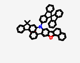 CC1(C)c2ccccc2-c2ccc(N(c3ccc4c(c3)C3(c5ccccc5-c5ccccc53)c3ccccc3-4)c3cc4c(cc3-c3ccccc3)oc3c5ccccc5ccc43)cc21